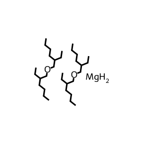 CCCCC(CC)COCC(CC)CCCC.CCCCC(CC)COCC(CC)CCCC.[MgH2]